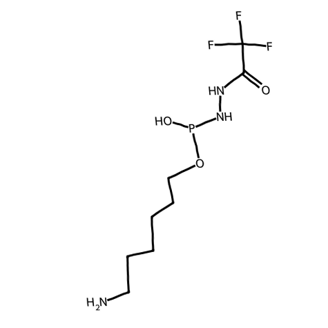 NCCCCCCOP(O)NNC(=O)C(F)(F)F